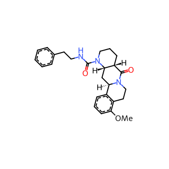 COc1cccc2c1CCN1C(=O)[C@H]3CCCN(C(=O)NCCc4ccccc4)[C@H]3C[C@H]21